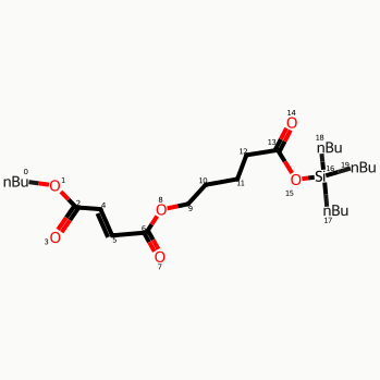 CCCCOC(=O)C=CC(=O)OCCCCC(=O)O[Si](CCCC)(CCCC)CCCC